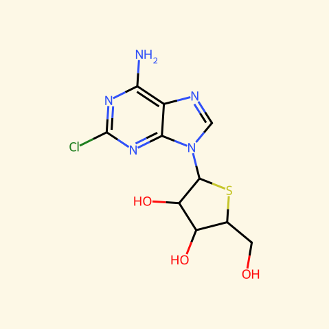 Nc1nc(Cl)nc2c1ncn2C1SC(CO)C(O)C1O